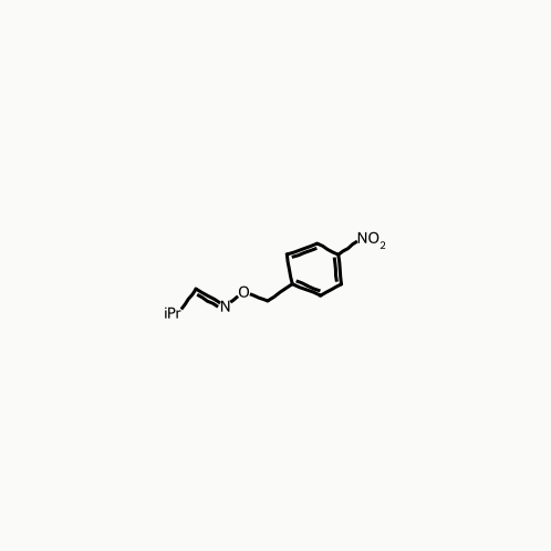 CC(C)C=NOCc1ccc([N+](=O)[O-])cc1